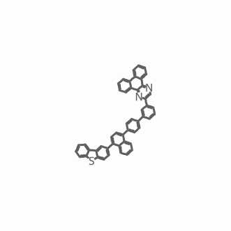 c1cc(-c2ccc(-c3ccc(-c4ccc5sc6ccccc6c5c4)c4ccccc34)cc2)cc(-c2cnc3c4ccccc4c4ccccc4c3n2)c1